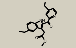 CCc1ccnc(C(=O)c2[nH]c3ccc(CC)cc3c2CC(=O)OC)c1